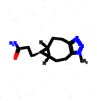 Cn1nnc2c1CC[C@@H]1[C@H](CCC(N)=O)[C@@H]1CC2